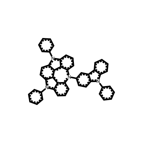 c1ccc(-n2c3ccccc3c3cc(-n4c5cccc6c5c5c7c8c(cccc84)n(-c4ccccc4)c7ccc5n6-c4ccccc4)ccc32)cc1